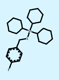 Fc1ccc(C[S][Sn]([CH]2CCCCC2)([CH]2CCCCC2)[CH]2CCCCC2)cc1